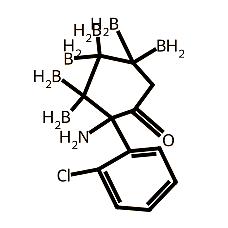 BC1(B)CC(=O)C(N)(c2ccccc2Cl)C(B)(B)C1(B)B